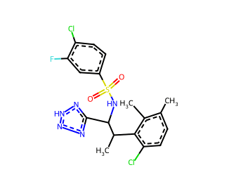 Cc1ccc(Cl)c(C(C)C(NS(=O)(=O)c2ccc(Cl)c(F)c2)c2nn[nH]n2)c1C